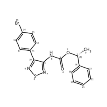 C[C@@H](OC(=O)Nc1nsnc1-c1ccc(Br)cc1)c1ccccc1